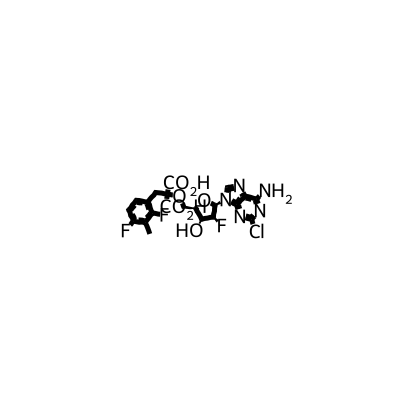 Cc1c(F)ccc(CC(OC[C@H]2O[C@@H](n3cnc4c(N)nc(Cl)nc43)[C@@H](F)[C@@H]2O)(C(=O)O)C(=O)O)c1F